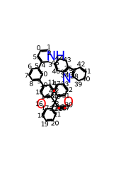 C1=CNCC(c2cccc(-c3ccc4c(c3)Oc3ccccc3C43c4ccccc4Oc4cc(-n5c6c(c7c5CCC=C7)CCC=C6)ccc43)c2)=C1